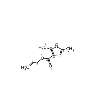 C=CCOC(=O)c1cc(C)oc1C